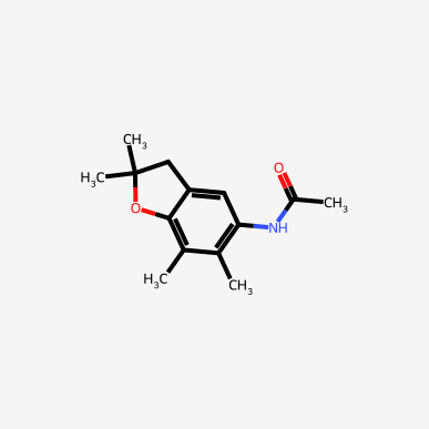 CC(=O)Nc1cc2c(c(C)c1C)OC(C)(C)C2